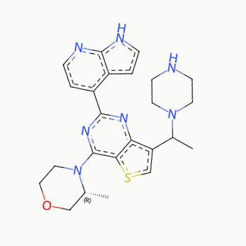 CC(c1csc2c(N3CCOC[C@H]3C)nc(-c3ccnc4[nH]ccc34)nc12)N1CCNCC1